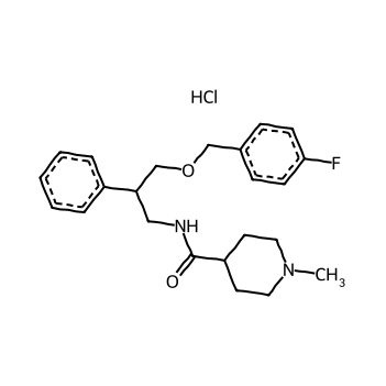 CN1CCC(C(=O)NCC(COCc2ccc(F)cc2)c2ccccc2)CC1.Cl